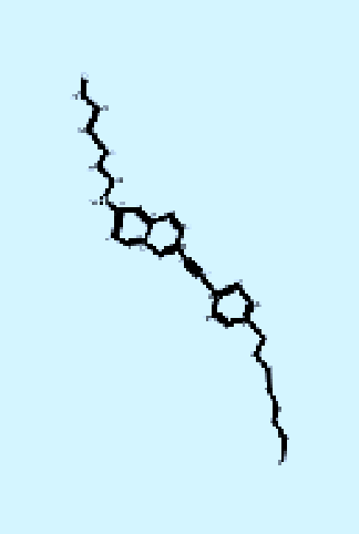 CCCCCCCCc1ccc(C#Cc2ccc3cc(OCCCCCCC)ccc3c2)cc1